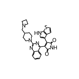 O=C1NC(=O)C(c2c[nH]c3sccc23)=C1c1nc(N2CCC(CN3CCC3)CC2)nc2ccccc12